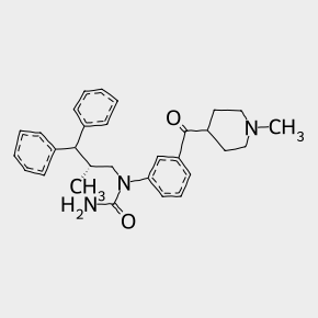 C[C@@H](CN(C(N)=O)c1cccc(C(=O)C2CCN(C)CC2)c1)C(c1ccccc1)c1ccccc1